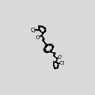 O=C(/C=C/c1ccc(/C=C/C(=O)c2ccccc2Cl)cc1)c1ccccc1Cl